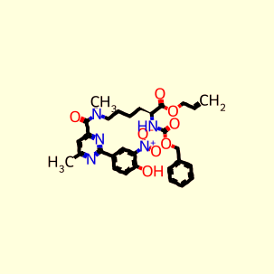 C=CCOC(=O)[C@H](CCCCN(C)C(=O)c1cc(C)nc(-c2ccc(O)c([N+](=O)[O-])c2)n1)NC(=O)OCc1ccccc1